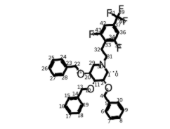 C[C@@H]1[C@@H](OCc2ccccc2)[C@H](OCc2ccccc2)[C@@H](OCc2ccccc2)CN1CCc1c(F)cc(C(F)(F)F)cc1F